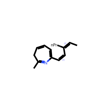 C/C=C(\C=C/C1=CC=CCC(C)=N1)CCC